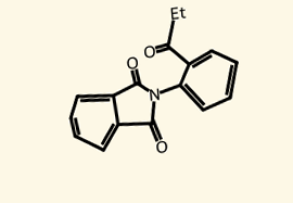 CCC(=O)c1ccccc1N1C(=O)c2ccccc2C1=O